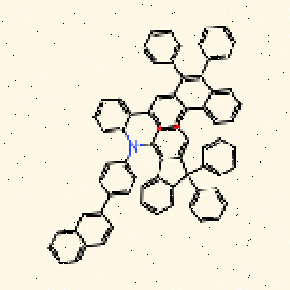 c1ccc(-c2c(-c3ccccc3)c3cc(-c4ccccc4N(c4ccc(-c5ccc6ccccc6c5)cc4)c4cccc5c4-c4ccccc4C5(c4ccccc4)c4ccccc4)ccc3c3ccccc23)cc1